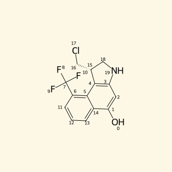 Oc1cc2c(c3c(C(F)(F)F)cccc13)[C@H](CCl)CN2